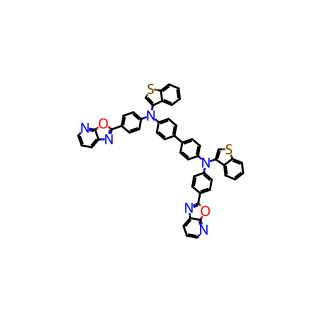 c1cnc2oc(-c3ccc(N(c4ccc(-c5ccc(N(c6ccc(-c7nc8cccnc8o7)cc6)c6csc7ccccc67)cc5)cc4)c4csc5ccccc45)cc3)nc2c1